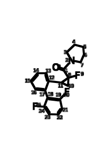 O=C(N1CCCCC1)C1(F)CC1c1ccccc1-c1c(F)cccc1F